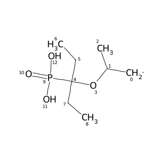 [CH2]C(C)OC(CC)(CC)P(=O)(O)O